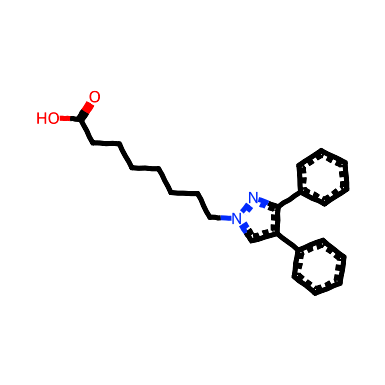 O=C(O)CCCCCCCn1cc(-c2ccccc2)c(-c2ccccc2)n1